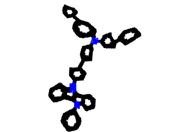 c1ccc(-c2ccc(N(c3ccc(-c4ccccc4)cc3)c3ccc(-c4ccc(-n5c6ccccc6c6c5c5ccccc5n6-c5ccccc5)cc4)cc3)cc2)cc1